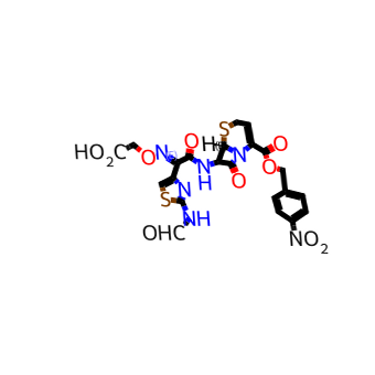 O=CNc1nc(/C(=N\OCC(=O)O)C(=O)NC2C(=O)N3C(C(=O)OCc4ccc([N+](=O)[O-])cc4)=CCS[C@H]23)cs1